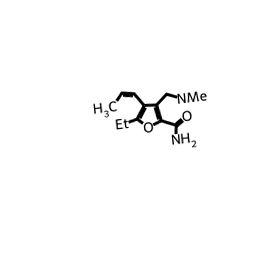 C/C=C\c1c(CC)oc(C(N)=O)c1CNC